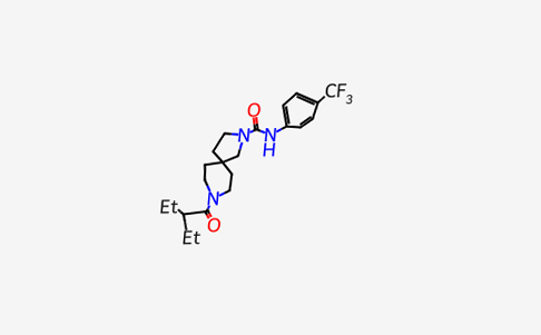 CCC(CC)C(=O)N1CCC2(CCN(C(=O)Nc3ccc(C(F)(F)F)cc3)C2)CC1